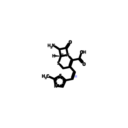 Cc1ncc(/C=C\C2=C(C(=O)O)N3C(=O)C(N)[C@@H]3SC2)s1